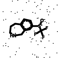 [O-][S+](c1ccc2c(c1)CNCCC2)C(F)(F)F